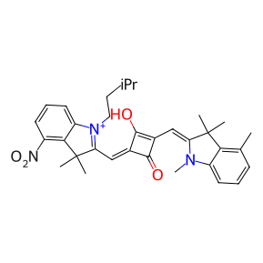 Cc1cccc2c1C(C)(C)/C(=C/C1=C(O)C(=C\C3=[N+](CCC(C)C)c4cccc([N+](=O)[O-])c4C3(C)C)/C1=O)N2C